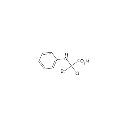 CCC(Cl)(Nc1ccccc1)C(=O)O